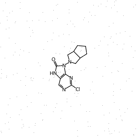 O=c1[nH]c2cnc(Cl)nc2n1N1CC2CCCC2C1